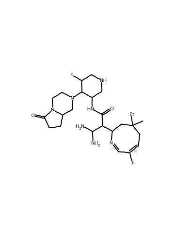 CCC1(C)C/C=C(F)\C=N/C(C(C(=O)NC2CNCC(F)C2N2CCN3C(=O)CCC3C2)C(N)N)C1